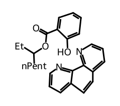 CCCCCC(CC)OC(=O)c1ccccc1O.c1cnc2c(c1)ccc1cccnc12